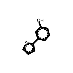 Oc1cccc(-c2cccs2)c1